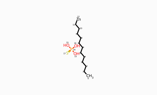 CCCCCCCCCCC[CH2][Zn].OP(O)(O)=S